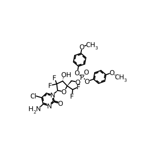 COc1ccc(OP(=O)(OC[C@@]2(C(F)F)O[C@@H](n3cc(Cl)c(N)nc3=O)C(F)(F)[C@@H]2O)Oc2ccc(OC)cc2)cc1